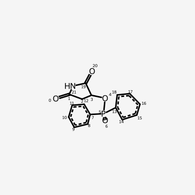 O=C1CC(OP(=O)(c2ccccc2)c2ccccc2)C(=O)N1